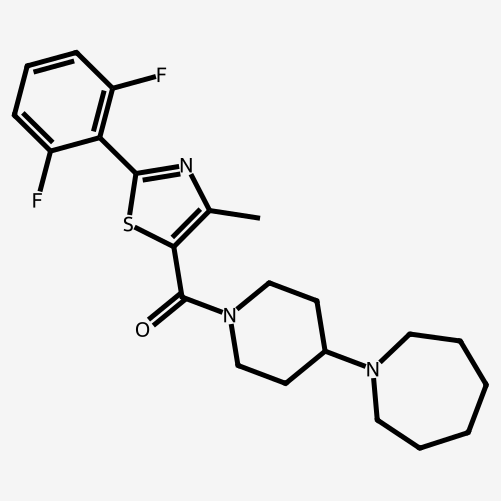 Cc1nc(-c2c(F)cccc2F)sc1C(=O)N1CCC(N2CCCCCC2)CC1